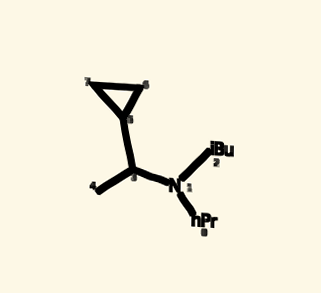 CCCN(C(C)CC)C(C)C1CC1